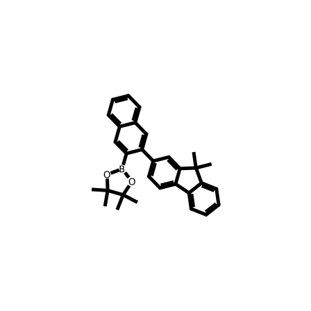 CC1(C)c2ccccc2-c2ccc(-c3cc4ccccc4cc3B3OC(C)(C)C(C)(C)O3)cc21